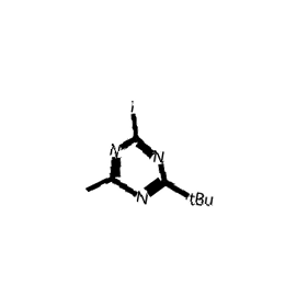 Cc1nc(I)nc(C(C)(C)C)n1